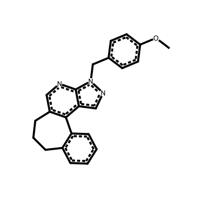 COc1ccc(Cn2ncc3c4c(cnc32)CCCc2ccccc2-4)cc1